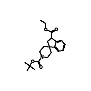 CCOC(=O)C1CC2(CCN(C(=O)OC(C)(C)C)CC2)c2ccccc21